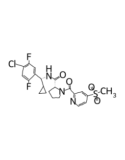 CS(=O)(=O)c1ccnc(C(=O)N2CCC[C@@H]2C(=O)N[C@@H](c2cc(F)c(Cl)cc2F)C2CC2)c1